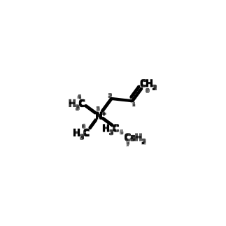 C=CC[N+](C)(C)C.[CaH2]